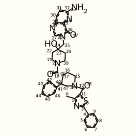 Cc1nc(-c2ccccc2)sc1C(=O)N1CC[C@@H](C(=O)N2CCC(O)(Cn3cnc4ccc(N)nc4c3=O)CC2)[C@H](c2ccccc2)C1